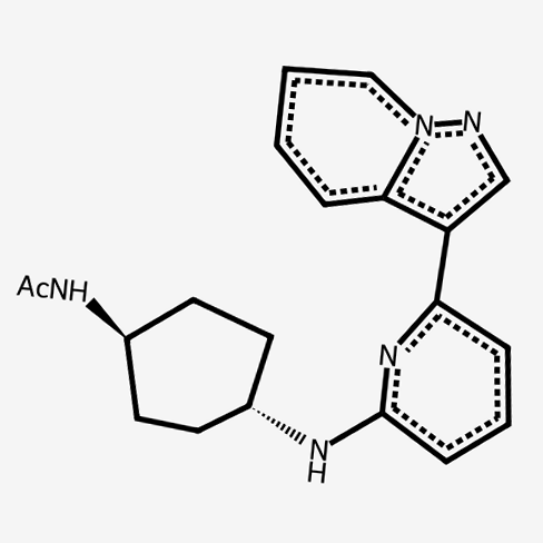 CC(=O)N[C@H]1CC[C@H](Nc2cccc(-c3cnn4ccccc34)n2)CC1